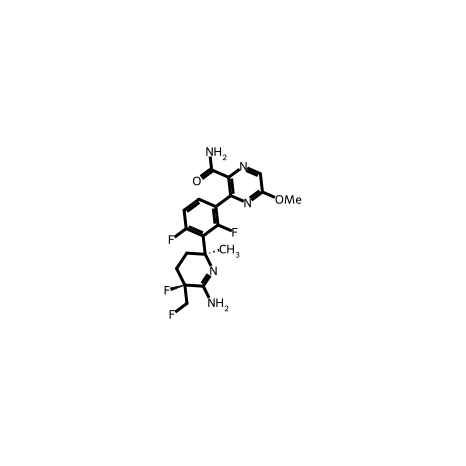 COc1cnc(C(N)=O)c(-c2ccc(F)c([C@]3(C)CC[C@@](F)(CF)C(N)=N3)c2F)n1